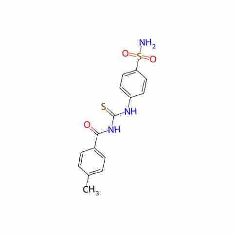 Cc1ccc(C(=O)NC(=S)Nc2ccc(S(N)(=O)=O)cc2)cc1